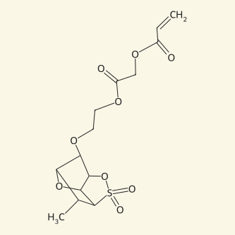 C=CC(=O)OCC(=O)OCCOC1C2OC3C1OS(=O)(=O)C3C2C